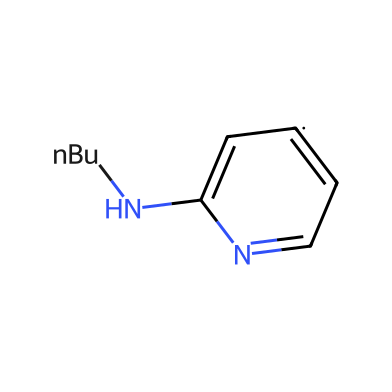 CCCCNc1c[c]ccn1